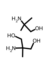 CC(C)(N)CO.CC(N)(CO)CO